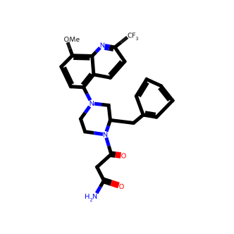 COc1ccc(N2CCN(C(=O)CC(N)=O)C(Cc3ccccc3)C2)c2ccc(C(F)(F)F)nc12